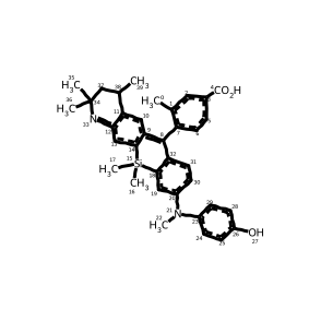 Cc1cc(C(=O)O)ccc1C1=c2cc3c(cc2[Si](C)(C)c2cc(N(C)c4ccc(O)cc4)ccc21)=NC(C)(C)CC3C